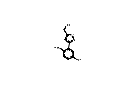 CCCc1ccc(OC)c(-c2cc(CO)on2)c1